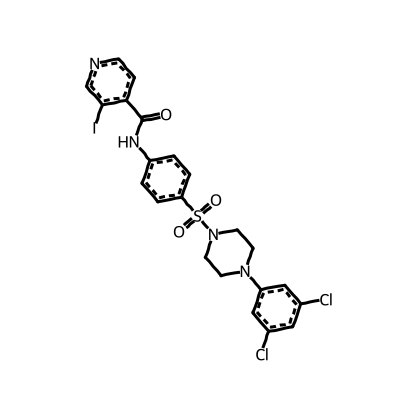 O=C(Nc1ccc(S(=O)(=O)N2CCN(c3cc(Cl)cc(Cl)c3)CC2)cc1)c1ccncc1I